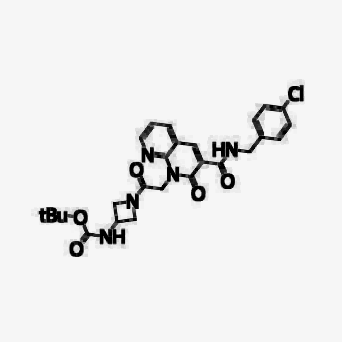 CC(C)(C)OC(=O)NC1CN(C(=O)Cn2c(=O)c(C(=O)NCc3ccc(Cl)cc3)cc3cccnc32)C1